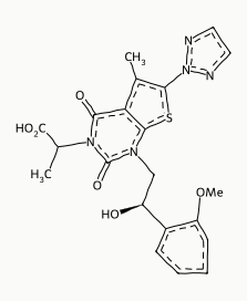 COc1ccccc1[C@@H](O)Cn1c(=O)n(C(C)C(=O)O)c(=O)c2c(C)c(-n3nccn3)sc21